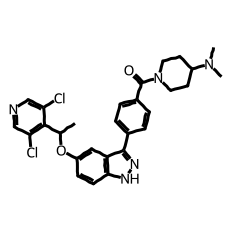 CC(Oc1ccc2[nH]nc(-c3ccc(C(=O)N4CCC(N(C)C)CC4)cc3)c2c1)c1c(Cl)cncc1Cl